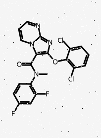 CN(C(=O)c1c(Oc2c(Cl)cccc2Cl)nc2ncccn12)c1ccc(F)cc1F